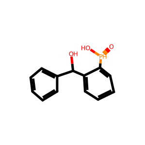 O=[PH](O)c1ccccc1C(O)c1ccccc1